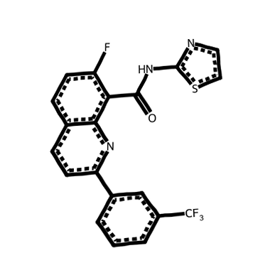 O=C(Nc1nccs1)c1c(F)ccc2ccc(-c3cccc(C(F)(F)F)c3)nc12